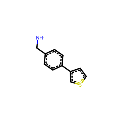 [NH]Cc1ccc(-c2ccsc2)cc1